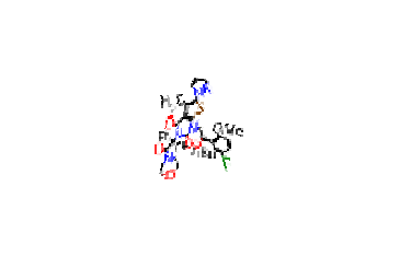 CCC(C)O[C@@H](Cn1c(=O)n(C(C)(CC)C(=O)N2CCOCC2)c(=O)c2c(C)c(-n3cccn3)sc21)c1cc(F)ccc1OC